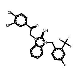 N=c1n(CC(=O)c2ccc(Cl)c(Cl)c2)c2ccccc2n1Cc1ccc(F)cc1C(F)(F)F